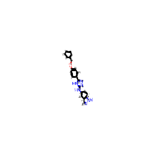 c1ccc(COc2ccc(-c3nnc(Nc4ccc5[nH]ncc5c4)[nH]3)cc2)cc1